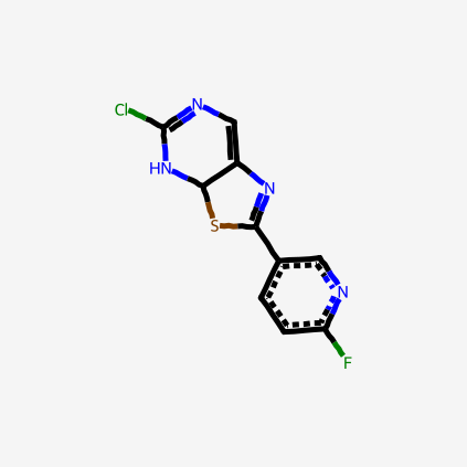 Fc1ccc(C2=NC3=CN=C(Cl)NC3S2)cn1